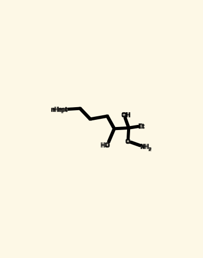 CCCCCCCCCCC(O)C(O)(CC)ON